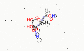 C/C(=C\C=C\[C@@H](C)COC(=O)N1CC=CC1)[C@H]1OC(=O)C[C@H](O)CC[C@@](C)(O)[C@@H](OC(=O)N2CCN(C3CCCCCC3)CC2)/C=C/[C@@H]1C